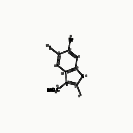 CCOC(=O)c1c(C)sc2cc(Br)c(I)cc12